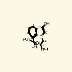 CCC(O)(O)c1ccccc1.OCCOCCO